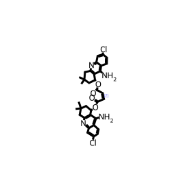 CC1(C)Cc2nc3cc(Cl)ccc3c(N)c2C(OC(=O)/C=C\C(=O)OC2CC(C)(C)Cc3nc4cc(Cl)ccc4c(N)c32)C1